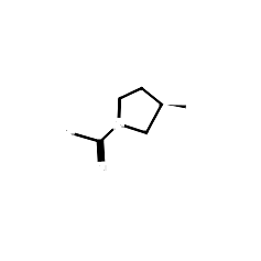 C[C@@H]1CCN(C(=N)N)C1